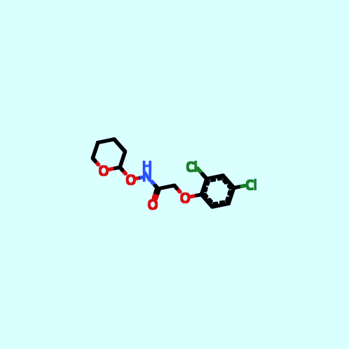 O=C(COc1ccc(Cl)cc1Cl)NOC1CCCCO1